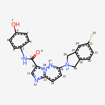 O=C(Nc1ccc(O)cc1)c1cnc2ccc(N3Cc4ccc(F)cc4C3)nn12